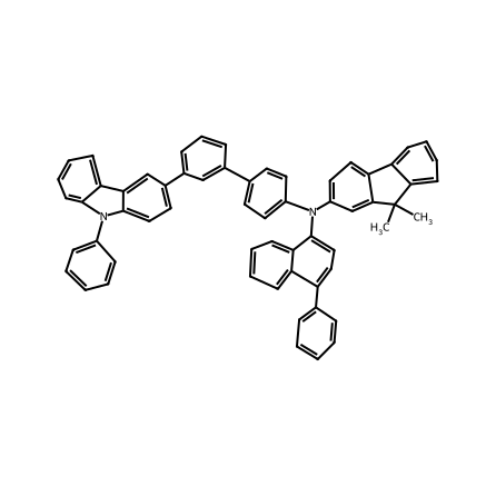 CC1(C)c2ccccc2-c2ccc(N(c3ccc(-c4cccc(-c5ccc6c(c5)c5ccccc5n6-c5ccccc5)c4)cc3)c3ccc(-c4ccccc4)c4ccccc34)cc21